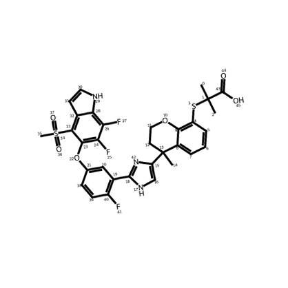 CC(C)(Sc1cccc2c1OCCC2(C)c1c[nH]c(-c2cc(Oc3c(F)c(F)c4[nH]ccc4c3S(C)(=O)=O)ccc2F)n1)C(=O)O